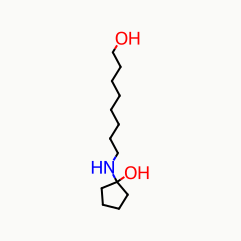 OCCCCCCCCNC1(O)CCCC1